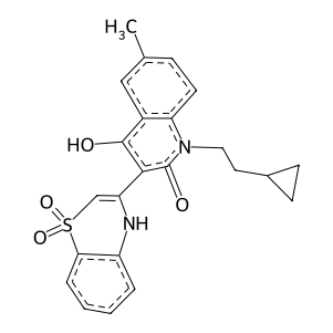 Cc1ccc2c(c1)c(O)c(C1=CS(=O)(=O)c3ccccc3N1)c(=O)n2CCC1CC1